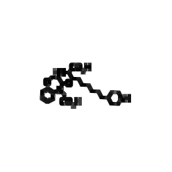 O=C(O)CN1C(=O)[C@@H](NC(CCCCCCCC2CCNCC2)C(=O)O)COc2ccccc21